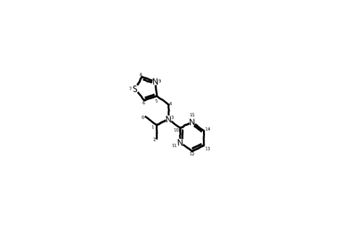 CC(C)N(Cc1cscn1)c1ncccn1